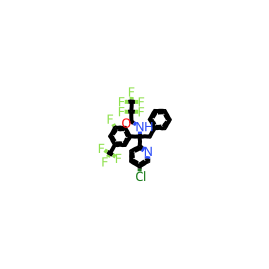 O=C(NC(Cc1ccccc1)(c1cc(F)cc(C(F)(F)F)c1)c1ccc(Cl)cn1)C(F)(F)C(F)(F)F